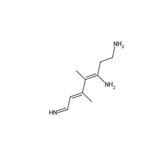 CC(=C(/N)CCN)/C(C)=C/C=N